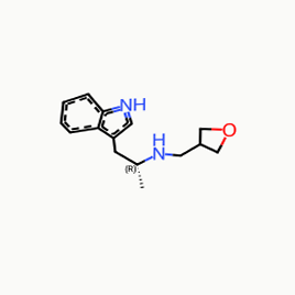 C[C@H](Cc1c[nH]c2ccccc12)NCC1COC1